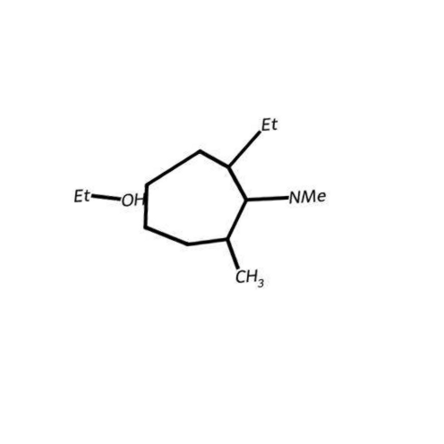 CCC1CCCCC(C)C1NC.CCO